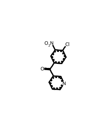 O=C(c1cccnc1)c1ccc(Cl)c([N+](=O)[O-])c1